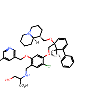 CC1(C)C(c2ccccc2)=CC=CC1(COc1cc(OCc2cncc(C#N)c2)c(CNC(CO)C(=O)O)cc1Cl)OC[C@@H]1CCCN2CCCC[C@H]12